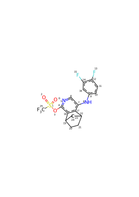 O=S(=O)(Oc1ncc(Nc2ccc(F)c(F)c2)c2c1C1CCC2CC1)C(F)(F)F